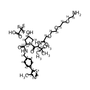 Cc1ncsc1-c1ccc(CNC(=O)[C@H]2C[C@H](O)CN2C(=O)C(NC(=O)COCCOCCOCCN)C(C)(C)C)cc1.O=C(O)C(F)(F)F